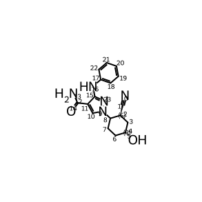 N#C[C@H]1C[C@H](O)CCC1n1cc(C(N)=O)c(Nc2ccccc2)n1